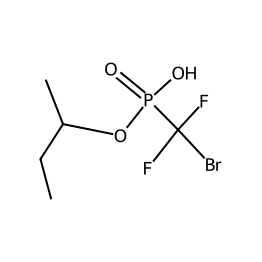 CCC(C)OP(=O)(O)C(F)(F)Br